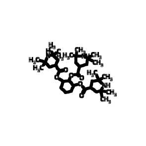 CC1(C)CC(C(=O)OC2CCCC(OC(=O)C3CC(C)(C)NC(C)(C)C3)C2OC(=O)C2CC(C)(C)NC(C)(C)C2)CC(C)(C)N1